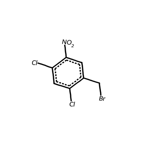 O=[N+]([O-])c1cc(CBr)c(Cl)cc1Cl